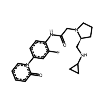 O=C(CN1CCC[C@H]1CNC1CC1)Nc1ccc(-n2ccccc2=O)cc1F